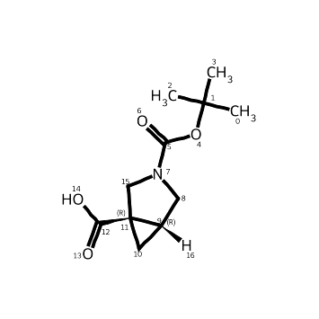 CC(C)(C)OC(=O)N1C[C@@H]2C[C@]2(C(=O)O)C1